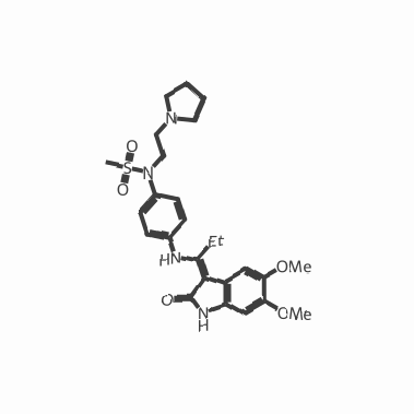 CC/C(Nc1ccc(N(CCN2CCCC2)S(C)(=O)=O)cc1)=C1/C(=O)Nc2cc(OC)c(OC)cc21